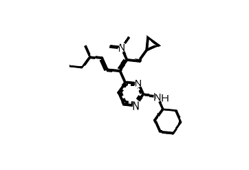 CCC(C)/C=C/C(=C(/CC1CC1)N(C)C)c1ccnc(NC2CCCCC2)n1